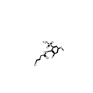 COc1cc(F)c(NC(=O)CCCCl)c(S(N)(=O)=O)c1